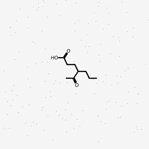 CCCC(CCC(=O)O)C(C)=O